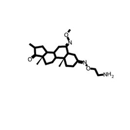 CON=C1CC2C(CC[C@]3(C)C(=O)C(C)CC23)[C@@]2(C)CCC(=NOCCN)CC12